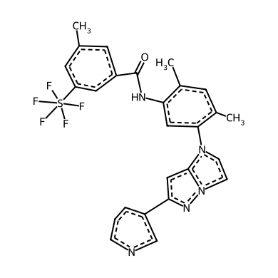 Cc1cc(C(=O)Nc2cc(-n3ccn4nc(-c5cccnc5)cc34)c(C)cc2C)cc(S(F)(F)(F)(F)F)c1